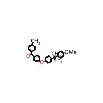 COc1ccc(C(C)(c2ccc(Oc3ccc(C(=O)c4ccc(C)cc4)cc3)cc2)C(F)(F)F)cc1